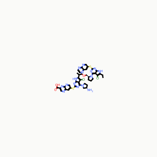 CCc1[nH]c2nc(Sc3cnc4nccnc4c3)nc(N3CCC[C@H]3COCC(C)c3[nH]c4nc(Sc5cnc6nc(C(=O)O)cnc6c5)nc(N5CC[C@H](N)C5)c4c3Cl)c2c1Cl